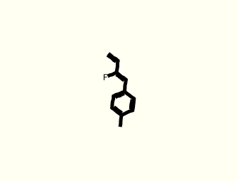 C=C/C(F)=C/c1ccc(C)cc1